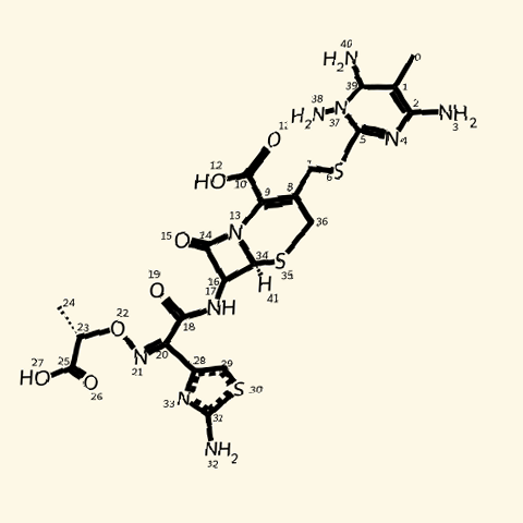 CC1=C(N)N=C(SCC2=C(C(=O)O)N3C(=O)C(NC(=O)/C(=N\O[C@@H](C)C(=O)O)c4csc(N)n4)[C@@H]3SC2)N(N)C1N